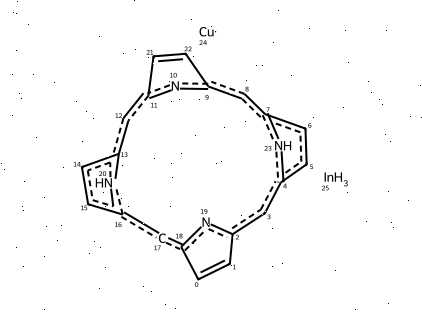 C1=Cc2cc3ccc(cc4nc(cc5ccc(cc1n2)[nH]5)C=C4)[nH]3.[Cu].[InH3]